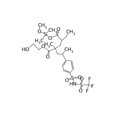 CCC(CC(C)(CC(C)c1ccc(S(=O)(=O)NS(=O)(=O)C(F)(F)F)cc1)C(=O)OCCO)C(=O)O[Si](C)(C)OC